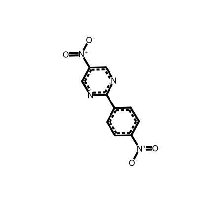 O=[N+]([O-])c1ccc(-c2ncc([N+](=O)[O-])cn2)cc1